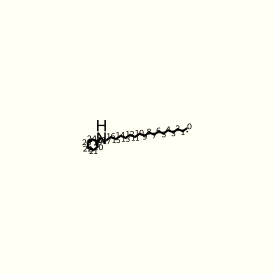 [CH2]CCCCCCCCCCCCCCCCCNc1ccccc1